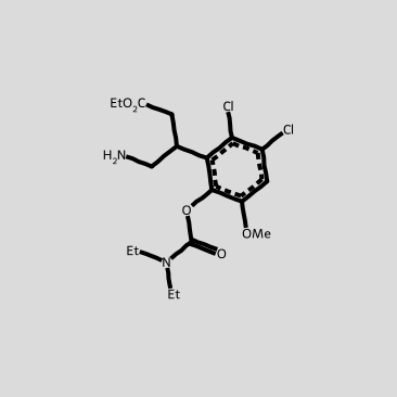 CCOC(=O)CC(CN)c1c(Cl)c(Cl)cc(OC)c1OC(=O)N(CC)CC